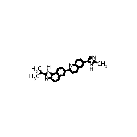 Cc1ncc(-c2ccc3nc(-c4ccc5c(ccc6nc(C(C)C)[nH]c65)c4)ccc3c2)[nH]1